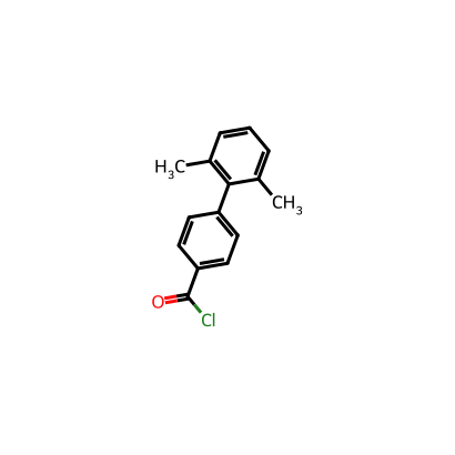 Cc1cccc(C)c1-c1ccc(C(=O)Cl)cc1